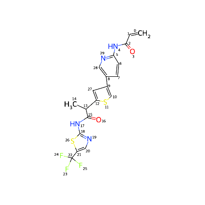 C=CC(=O)Nc1ccc(-c2csc(C(C)C(=O)Nc3ncc(C(F)(F)F)s3)c2)cn1